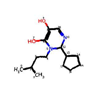 CC(C)CCN1C(O)=C(O)C=NC1C1CCCC1